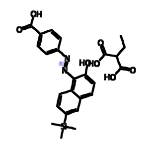 CCC(C(=O)O)C(=O)O.C[Si](C)(C)c1ccc2c(/N=N/c3ccc(C(=O)O)cc3)c(O)ccc2c1